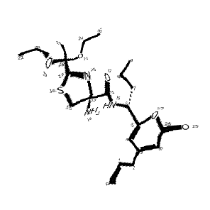 C=CCc1cc([C@@H](CCC)NC(=O)[C@]2(N)CSC(C(C)(OCC)OCC)=N2)oc(=O)c1